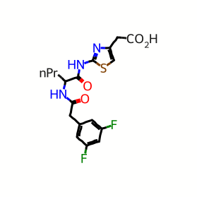 CCCC(NC(=O)Cc1cc(F)cc(F)c1)C(=O)Nc1nc(CC(=O)O)cs1